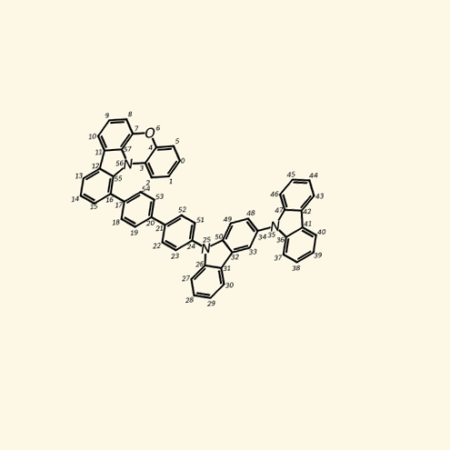 c1ccc2c(c1)Oc1cccc3c4cccc(-c5ccc(-c6ccc(-n7c8ccccc8c8cc(-n9c%10ccccc%10c%10ccccc%109)ccc87)cc6)cc5)c4n-2c13